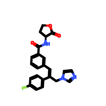 O=C(N[C@H]1CCOC1=O)c1cccc(/C=C(/Cn2ccnc2)c2ccc(F)cc2)c1